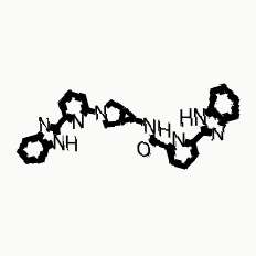 O=C(NC1C2CN(c3cccc(-c4nc5ccccc5[nH]4)n3)CC21)c1cccc(-c2nc3ccccc3[nH]2)n1